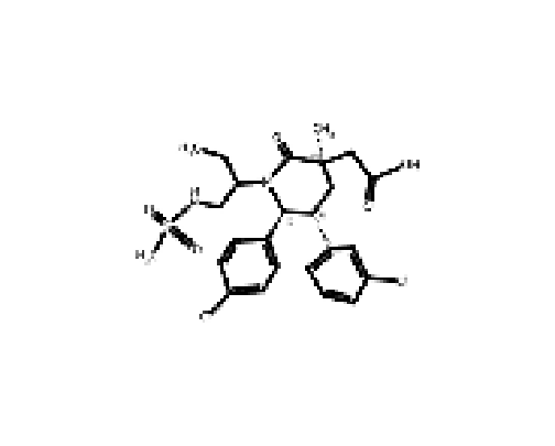 CCC(CNS(C)(=O)=O)N1C(=O)[C@@](C)(CC(=O)O)C[C@H](c2cccc(Cl)c2)[C@H]1c1ccc(Cl)cc1